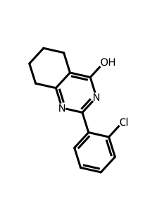 Oc1nc(-c2ccccc2Cl)nc2c1CCCC2